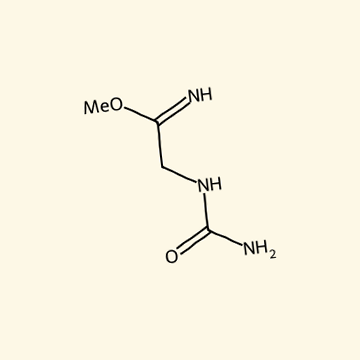 COC(=N)CNC(N)=O